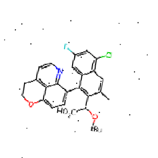 Cc1cc2c(Cl)cc(F)cc2c(-c2ccc3c4c(ccnc24)CCO3)c1C(OC(C)(C)C)C(=O)O